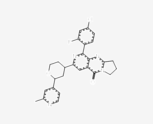 Cc1cc(C2CC(c3cc4c(=O)n5c(nc4c(-c4ccc(Cl)cc4F)n3)CCC5)CCO2)ccn1